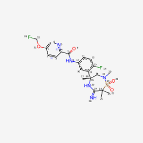 C=C(/C=C\C(=N/C)C(=O)Nc1ccc(F)c([C@]2(C)CN(C)S(=O)(=O)C(C)(C)C(=N)N2)c1)OCF